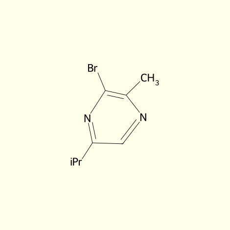 Cc1ncc(C(C)C)nc1Br